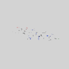 COC[C@H]1C[C@@H](n2cnc3c(N[C@H]4CCN(c5ccc(Cl)cn5)C4)ncnc32)[C@@H](O)[C@H]1O